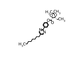 CCCCCCCCc1cnc(-c2ccc(OC(=O)[C@@H]3OC(C)(C)O[C@@H]3CC)cc2)nc1